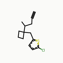 C#CCC(C)C1(Cc2ccc(Cl)s2)CCC1